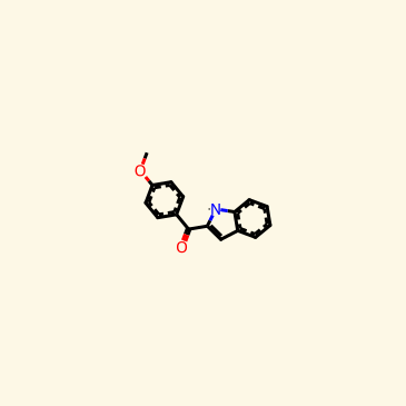 COc1ccc(C(=O)C2=Cc3ccccc3[N]2)cc1